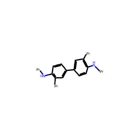 CC(C)Nc1ccc(-c2ccc(NC(C)C)c(C(C)C)c2)cc1C(C)C